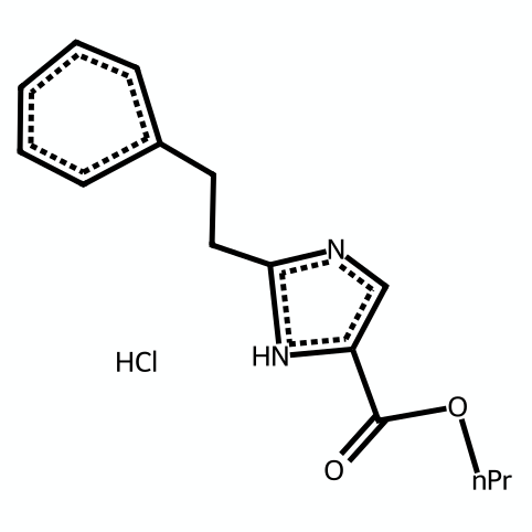 CCCOC(=O)c1cnc(CCc2ccccc2)[nH]1.Cl